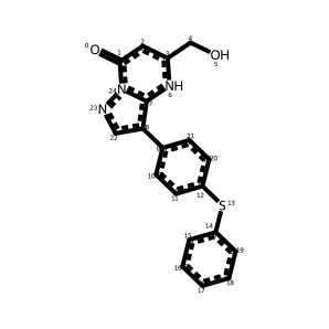 O=c1cc(CO)[nH]c2c(-c3ccc(Sc4ccccc4)cc3)cnn12